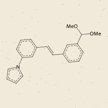 COC(OC)c1cccc(C=Cc2cccc(-n3cccc3)c2)c1